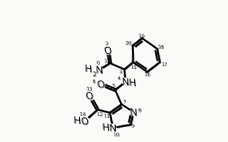 NC(=O)C(NC(=O)c1nc[nH]c1C(=O)O)c1ccccc1